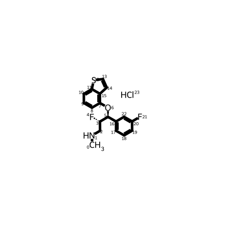 CNC[C@H](F)[C@@H](Oc1cccc2sccc12)c1cccc(F)c1.Cl